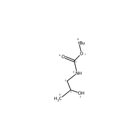 CC(O)CNC(=O)OC(C)(C)C